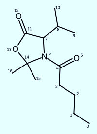 CCCCC(=O)N1C(C(C)C)C(=O)OC1(C)C